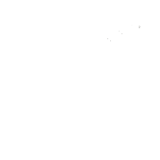 O=P(c1ccccc1)(c1ccccc1)c1ccccc1.[NaH].[NaH].[NaH]